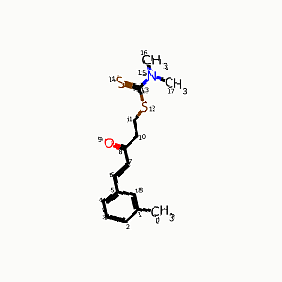 Cc1cccc(C=CC(=O)CCSC(=S)N(C)C)c1